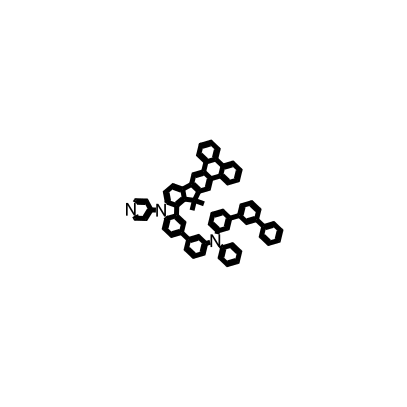 CC1(C)c2cc3c4ccccc4c4ccccc4c3cc2-c2ccc3c(c21)c1cc(-c2cccc(N(c4ccccc4)c4cccc(-c5cccc(-c6ccccc6)c5)c4)c2)ccc1n3-c1ccncc1